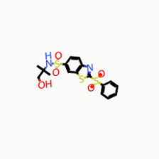 CC(C)(CO)NS(=O)(=O)c1ccc2nc(S(=O)(=O)c3ccccc3)sc2c1